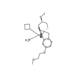 COCCOc1ccc2c(c1)C1(N=C(N)N(C3CCC3)C1=O)[C@]1(CC[C@H](OI)CC1)C2